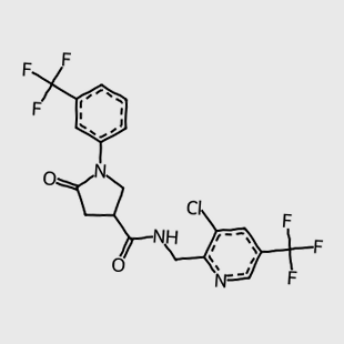 O=C(NCc1ncc(C(F)(F)F)cc1Cl)C1CC(=O)N(c2cccc(C(F)(F)F)c2)C1